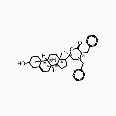 C[C@]12CCC(O)CC1=CC[C@@H]1[C@H]2CC[C@]2(C)C([C@]3(C)CN(Cc4ccccc4)[C@H](Cc4ccccc4)C(=O)O3)CC[C@@H]12